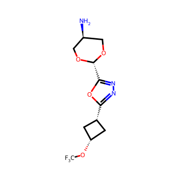 N[C@H]1CO[C@H](c2nnc([C@H]3C[C@@H](OC(F)(F)F)C3)o2)OC1